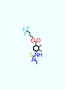 CCN(C)C(=S)Nc1ccc(C(=O)OCCCC(F)(F)F)c(C)c1C